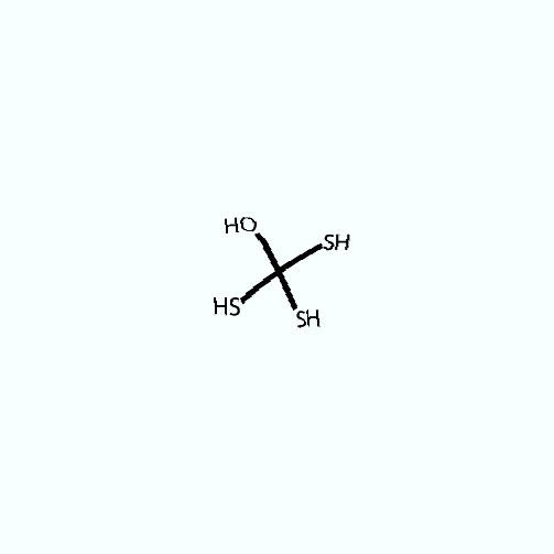 OC(S)(S)S